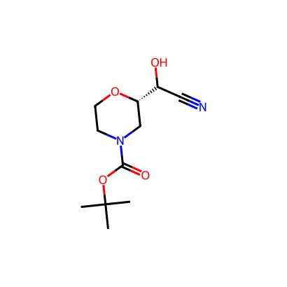 CC(C)(C)OC(=O)N1CCO[C@H](C(O)C#N)C1